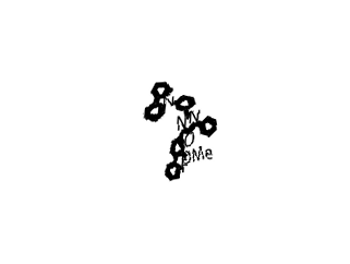 COc1c(-c2ccccc2F)ccc2c1oc1c(-c3ccccc3)nc(-c3cccc(-n4c5ccccc5c5ccccc54)c3)nc12